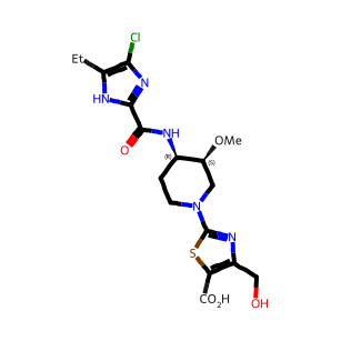 CCc1[nH]c(C(=O)N[C@@H]2CCN(c3nc(CO)c(C(=O)O)s3)C[C@@H]2OC)nc1Cl